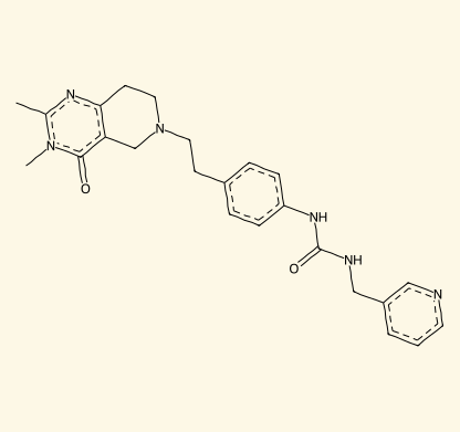 Cc1nc2c(c(=O)n1C)CN(CCc1ccc(NC(=O)NCc3cccnc3)cc1)CC2